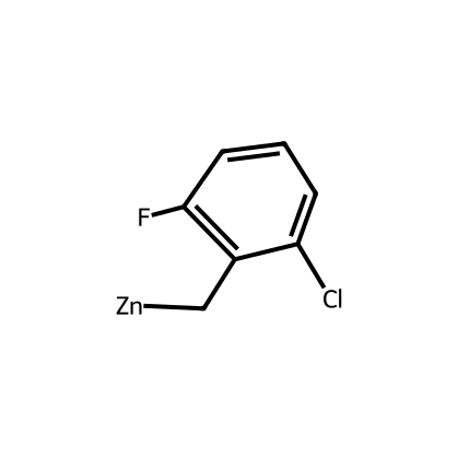 Fc1cccc(Cl)c1[CH2][Zn]